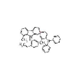 C=Cc1ccccc1.Cc1cccc2c1[nH]c1ccccc12.Cc1ccccc1N(c1ccccc1)c1ccccc1